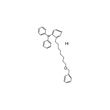 I.c1ccc(COCCCCCCCCc2ccccc2P(c2ccccc2)c2ccccc2)cc1